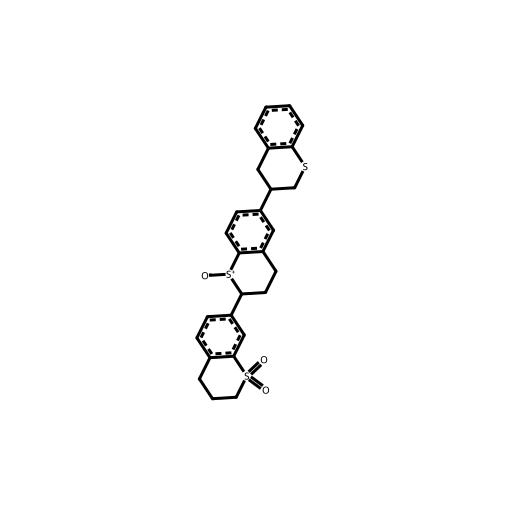 O=S1(=O)CCCc2ccc(C3CCc4cc(C5CSc6ccccc6C5)ccc4[S+]3[O-])cc21